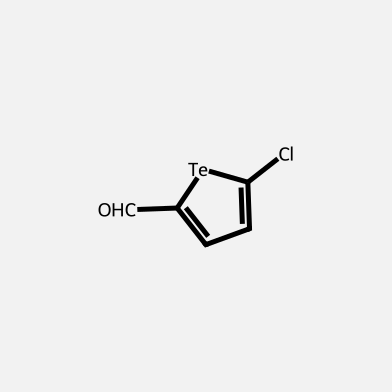 O=Cc1ccc(Cl)[te]1